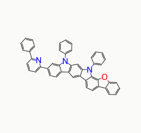 c1ccc(-c2cccc(-c3ccc4c5cc6c7ccc8c9ccccc9oc8c7n(-c7ccccc7)c6cc5n(-c5ccccc5)c4c3)n2)cc1